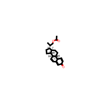 CC(=O)OCC(C)[C@H]1CC[C@H]2[C@@H]3C=CC4=CC(=O)C=C[C@]4(C)[C@H]3CC[C@]12C